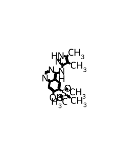 Cc1[nH]nc(Nc2ncnc3cc(O)c(S(=O)(=O)C(C)(C)C)cc23)c1C